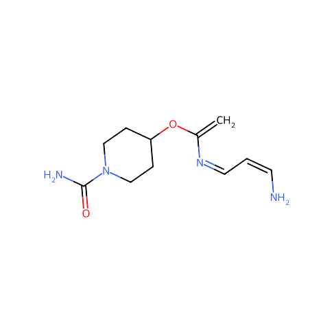 C=C(/N=C\C=C/N)OC1CCN(C(N)=O)CC1